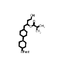 C=C(C)C(=O)OC(CCO)CC1CCC(C2CCC(CCCCC)CC2)CC1